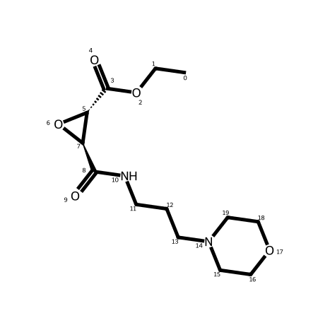 CCOC(=O)[C@H]1O[C@@H]1C(=O)NCCCN1CCOCC1